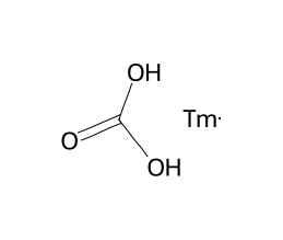 O=C(O)O.[Tm]